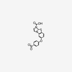 O=C(O)N1C=CN2c3cc(Oc4ccc([N+](=O)[O-])cc4)ccc3SC12